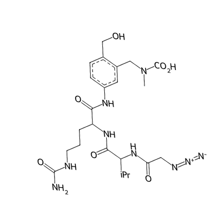 CC(C)C(NC(=O)CN=[N+]=[N-])C(=O)NC(CCCNC(N)=O)C(=O)Nc1ccc(CO)c(CN(C)C(=O)O)c1